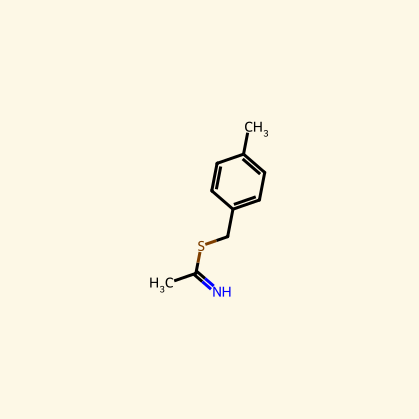 CC(=N)SCc1ccc(C)cc1